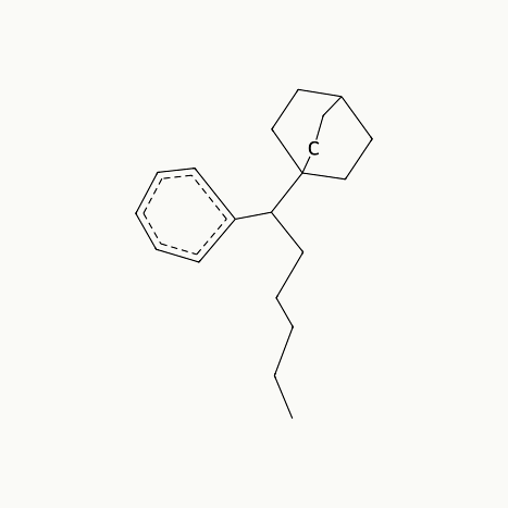 CCCCCC(c1ccccc1)C12CCC(CC1)CC2